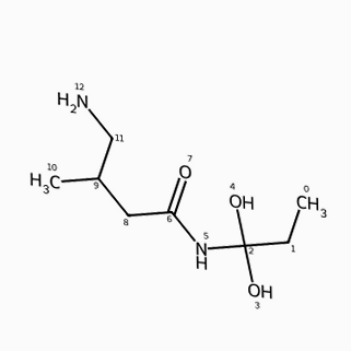 CCC(O)(O)NC(=O)CC(C)CN